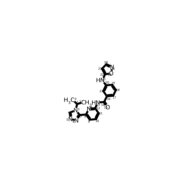 CC(C)n1cnnc1-c1cccc(NC(=O)c2cccc(Nc3ccno3)c2)n1